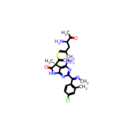 C=C(S/C=C(\C)CC(N)C(C)=O)[C@]1(C)C(=O)Nc2nc(/C(=N/C)c3ccc(Cl)cc3C)nc(N)c21